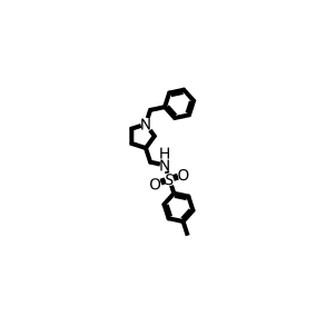 Cc1ccc(S(=O)(=O)NCC2CCN(Cc3ccccc3)C2)cc1